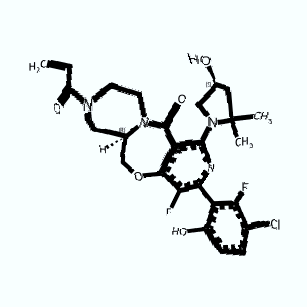 C=CC(=O)N1CCN2C(=O)c3c(N4C[C@@H](O)CC4(C)C)nc(-c4c(O)ccc(Cl)c4F)c(F)c3OC[C@H]2C1